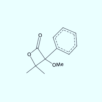 COC1(c2ccccc2)C(=O)OC1(C)C